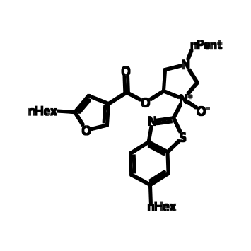 CCCCCCc1ccc2nc([N+]3([O-])CN(CCCCC)CC3OC(=O)c3coc(CCCCCC)c3)sc2c1